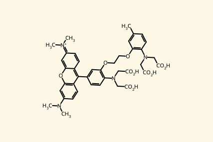 Cc1ccc(N(CC(=O)O)CC(=O)O)c(OCCOc2cc(-c3c4ccc(=[N+](C)C)cc-4oc4cc(N(C)C)ccc34)ccc2N(CC(=O)O)CC(=O)O)c1